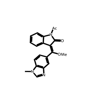 COC(=C1C(=O)N(C(C)=O)c2ccccc21)c1ccc2c(c1)ncn2C